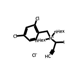 C#CC(I)[N+](CCCCCC)(CCCCCC)Cc1ccc(Cl)cc1Cl.[Cl-]